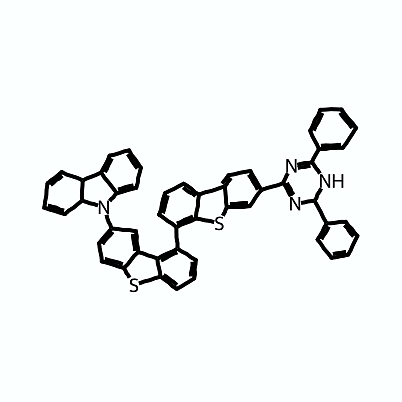 C1=CC2c3ccccc3N(c3ccc4sc5cccc(-c6cccc7c6sc6cc(C8=NC(c9ccccc9)NC(c9ccccc9)=N8)ccc67)c5c4c3)C2C=C1